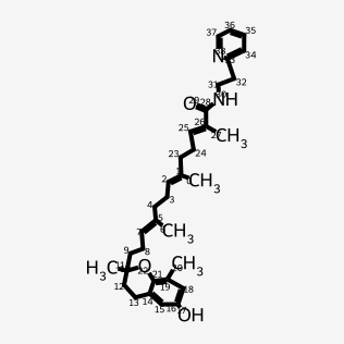 C/C(=C\CC/C(C)=C/CCC1(C)CCc2cc(O)cc(C)c2O1)CC/C=C(\C)C(=O)NCCc1ccccn1